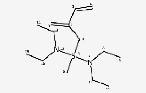 C=CC(=C)CS(C)(N(CC)CC)N(CC)CC